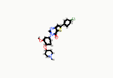 COc1cc(-n2cnc3cc(-c4ccc(Cl)cc4)sc3c2=O)ccc1OC1CCN(C)CC1